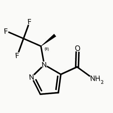 C[C@@H](n1nccc1C(N)=O)C(F)(F)F